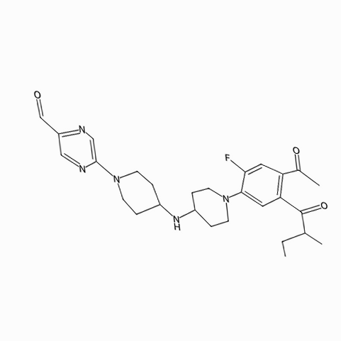 CCC(C)C(=O)c1cc(N2CCC(NC3CCN(c4cnc(C=O)cn4)CC3)CC2)c(F)cc1C(C)=O